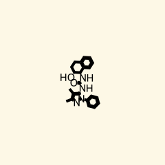 Cc1nn(-c2ccccc2)c(NC(=O)N[C@H]2c3ccccc3CC[C@@H]2O)c1C